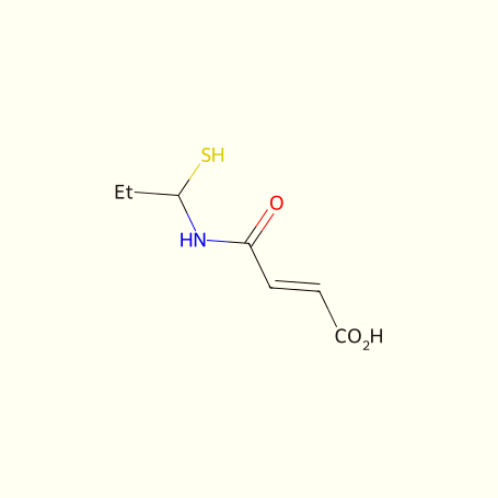 CCC(S)NC(=O)C=CC(=O)O